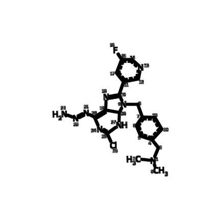 CN(C)Cc1ccc(CN2C(c3cncc(F)c3)=NC3=C(N=NN)N=C(Cl)NC32)cc1